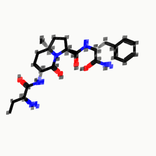 CC[C@H](N)C(=O)N[C@@H]1CC[C@H]2CC[C@@H](C(=O)N[C@H](Cc3ccccc3)C(N)=O)N2C1=O